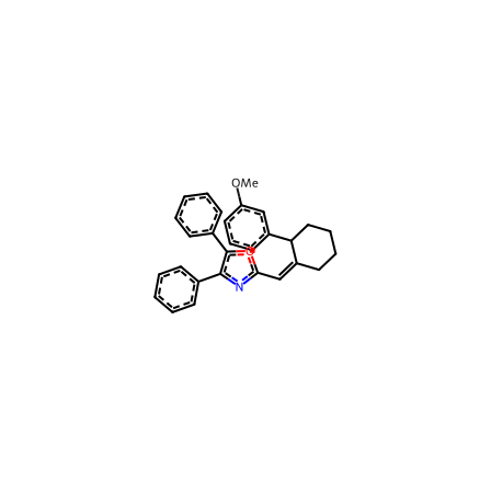 COc1cccc(C2CCCC/C2=C/c2nc(-c3ccccc3)c(-c3ccccc3)o2)c1